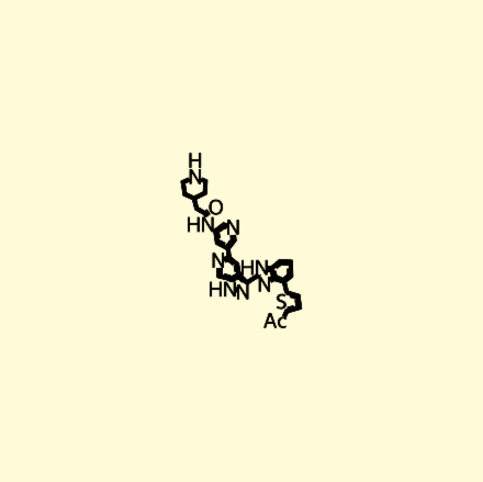 CC(=O)c1ccc(-c2cccc3[nH]c(-c4n[nH]c5cnc(-c6cncc(NC(=O)CC7CCNCC7)c6)cc45)nc23)s1